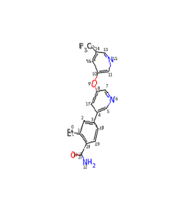 CCc1cc(-c2cncc(Oc3cncc(C(F)(F)F)c3)c2)ccc1C(N)=O